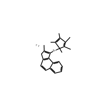 CC1=[C]([Zr+2][C]2(C)C(C)=C(C)C(C)=C2C)c2c(ccc3ccccc23)C1.[I-].[I-]